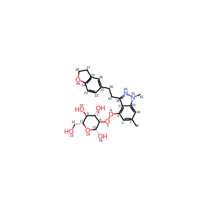 Cc1cc(OO[C@@H]2[C@@H](O)[C@H](O)[C@@H](CO)O[C@H]2O)c2c(CCc3ccc4c(c3)CCO4)nn(C)c2c1